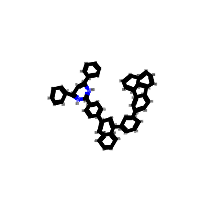 c1ccc(-c2cc(-c3ccccc3)nc(-c3ccc(-c4cc(-c5cccc(-c6ccc7c(c6)-c6cccc8cccc-7c68)c5)c5ccccc5c4)cc3)n2)cc1